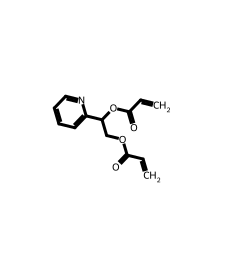 C=CC(=O)OCC(OC(=O)C=C)c1ccccn1